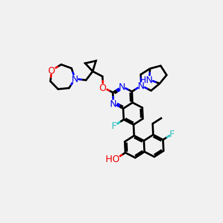 CCc1c(F)ccc2cc(O)cc(-c3ccc4c(N5CC6CCC(C5)N6)nc(OCC5(CN6CCCOCC6)CC5)nc4c3F)c12